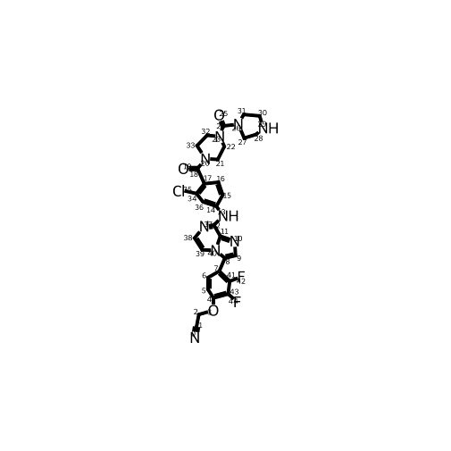 N#CCOc1ccc(-c2cnc3c(Nc4ccc(C(=O)N5CCN(C(=O)N6CCNCC6)CC5)c(Cl)c4)nccn23)c(F)c1F